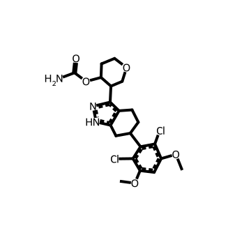 COc1cc(OC)c(Cl)c(C2CCc3c(C4COCCC4OC(N)=O)n[nH]c3C2)c1Cl